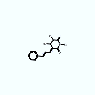 CCN1C(=O)/C(=C/C=C/c2ccccc2)C(O)N(CC)C1=S